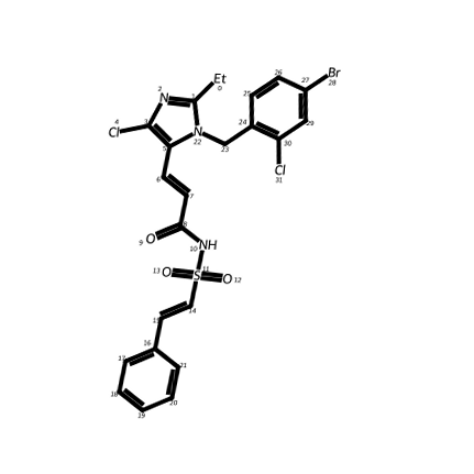 CCc1nc(Cl)c(C=CC(=O)NS(=O)(=O)C=Cc2ccccc2)n1Cc1ccc(Br)cc1Cl